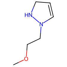 COCCN1C=CCN1